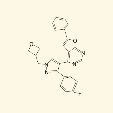 Fc1ccc(-c2nn(CC3COC3)cc2-c2ncnc3oc(-c4ccccc4)cc23)cc1